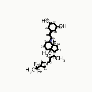 CC(CCN1CC(C(C)(F)F)C1)[C@H]1CC[C@H]2/C(=C/C=C3C[C@@H](O)C[C@H](O)C3)CCC[C@]12C